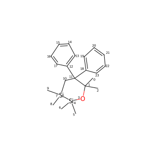 CC1(C)O[Si](C)(C)[Si](C)(C)CC1(c1ccccc1)c1ccccc1